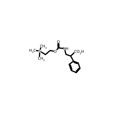 C[Si](C)(C)CCOC(=O)NCC(C(=O)O)c1ccccc1